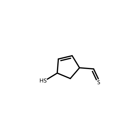 S=CC1C=CC(S)C1